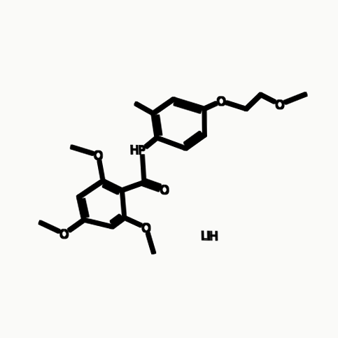 COCCOc1ccc(PC(=O)c2c(OC)cc(OC)cc2OC)c(C)c1.[LiH]